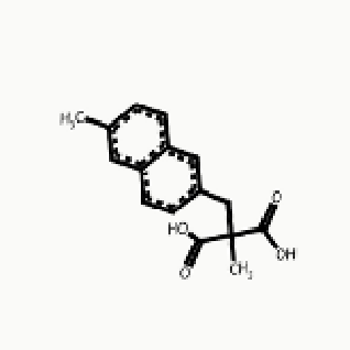 Cc1ccc2cc(CC(C)(C(=O)O)C(=O)O)ccc2c1